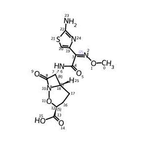 CO/N=C(\C(=O)N[C@H]1C(=O)N2O[C@H](C(=O)O)CC[C@@H]12)c1csc(N)n1